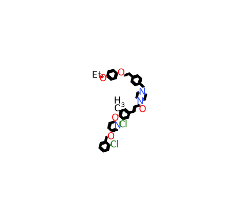 CCOc1ccc(OCCc2ccc(CN3CCN(C(=O)/C=C/c4cc(C)c(Oc5ccc(OCc6ccccc6Cl)cn5)c(Cl)c4)CC3)cc2)cc1